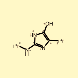 CC(C)Nc1nc(C(C)C)c(O)[nH]1